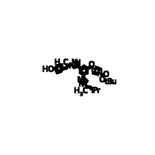 CC(C)C[C@@H](C)n1cc(-c2cc(C(=O)N3CCN(C(=O)OC(C)(C)C)CC3)cc(-c3cn([C@H](C)Cc4ccc(O)cc4)nn3)c2)nn1